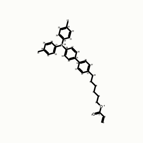 C=CC(=O)OCCCCCCc1ccc(-c2ccc(N(c3ccc(C)cc3)c3ccc(C)cc3)cc2)cc1